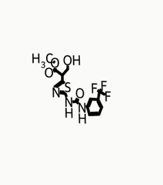 COC(=O)C(CO)c1cnc(NC(=O)Nc2cccc(C(F)(F)F)c2)s1